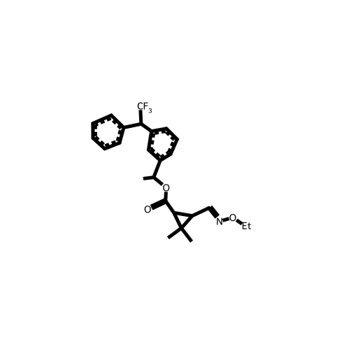 CCON=CC1C(C(=O)OC(C)c2cccc(C(c3ccccc3)C(F)(F)F)c2)C1(C)C